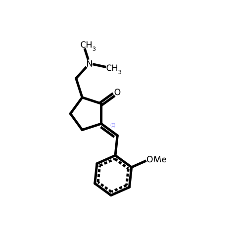 COc1ccccc1/C=C1\CCC(CN(C)C)C1=O